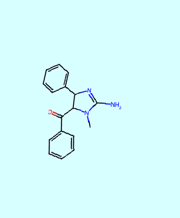 CN1C(N)=NC(c2ccccc2)C1C(=O)c1ccccc1